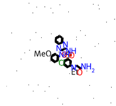 CCN(CC(N)=O)c1cccc(S(=O)(=O)Nc2nc3ccccc3nc2Nc2cc(OC)ccc2Cl)c1